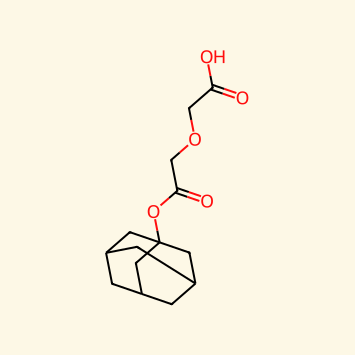 O=C(O)COCC(=O)OC12CC3CC(CC(C3)C1)C2